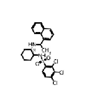 CC(N[C@H]1CCCCC1NS(=O)(=O)c1ccc(Cl)c(Cl)c1Cl)c1cccc2ccccc12